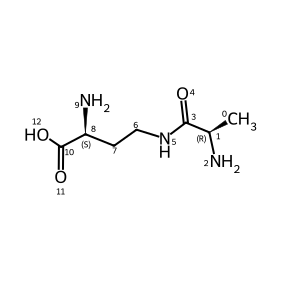 C[C@@H](N)C(=O)NCC[C@H](N)C(=O)O